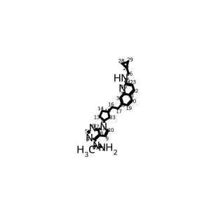 CN(N)c1ncnc2c1ccn2C1CCC(CCc2ccc3ccc(NCC4CC4)nc3c2)C1